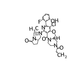 C=CC(=O)N1CCN2C(=O)c3c(N4CC5CCC(=O)N5C[C@@H]4C)nc(-c4c(O)cccc4F)c(Cl)c3OC[C@H]2C1